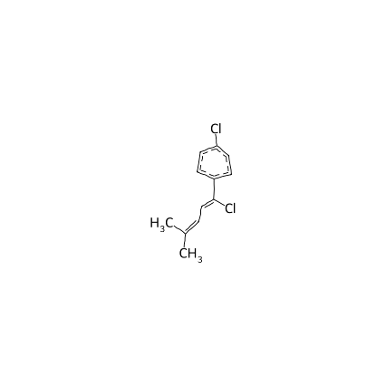 CC(C)=C/C=C(\Cl)c1ccc(Cl)cc1